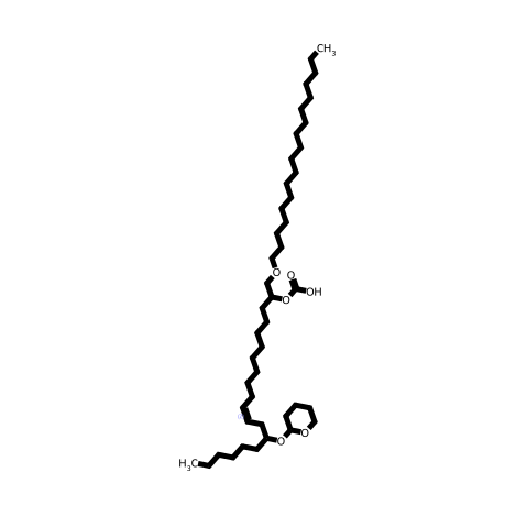 CCCCCCCCCCCCCCCCCCOCC(CCCCCCCC/C=C\CC(CCCCCC)OC1CCCCO1)OC(=O)O